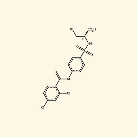 O=C(Nc1ccc(S(=O)(=O)N[C@@H](CO)C(=O)O)cc1)c1ccc(Cl)cc1Cl